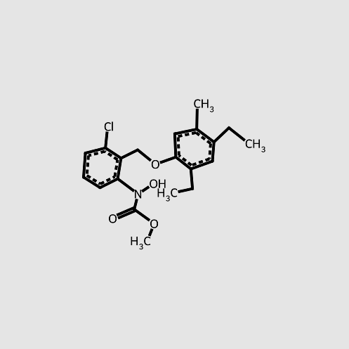 CCc1cc(CC)c(OCc2c(Cl)cccc2N(O)C(=O)OC)cc1C